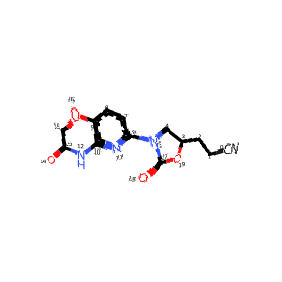 N#CCCC1CN(c2ccc3c(n2)NC(=O)CO3)C(=O)O1